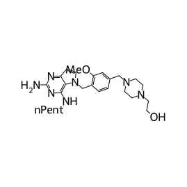 CCCCCNc1nc(N)nc2ccn(Cc3ccc(CN4CCN(CCO)CC4)cc3OC)c12